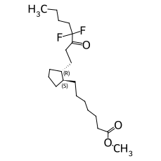 CCCCC(F)(F)C(=O)CC[C@H]1CCC[C@@H]1CCCCCCC(=O)OC